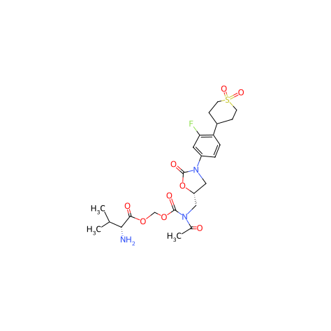 CC(=O)N(C[C@H]1CN(c2ccc(C3CCS(=O)(=O)CC3)c(F)c2)C(=O)O1)C(=O)OCOC(=O)[C@H](N)C(C)C